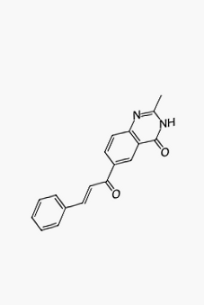 Cc1nc2ccc(C(=O)C=Cc3ccccc3)cc2c(=O)[nH]1